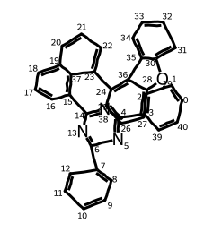 c1ccc(-c2nc(-c3ccccc3)nc(-c3cccc4cccc(-c5cccc6oc7ccccc7c56)c34)n2)cc1